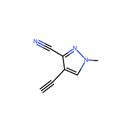 C#Cc1cn(C)nc1C#N